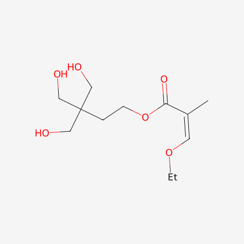 CCOC=C(C)C(=O)OCCC(CO)(CO)CO